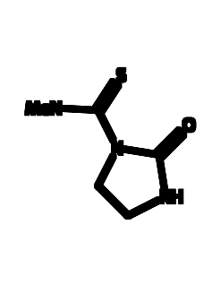 CNC(=S)N1CCNC1=O